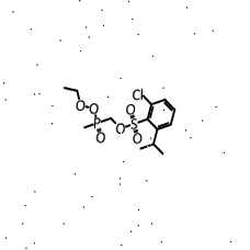 CCOOP(C)(=O)COS(=O)(=O)c1c(Cl)cccc1C(C)C